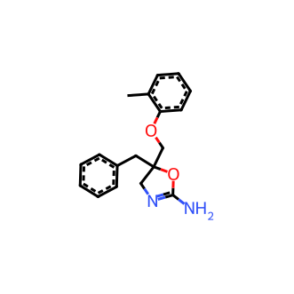 Cc1ccccc1OCC1(Cc2ccccc2)CN=C(N)O1